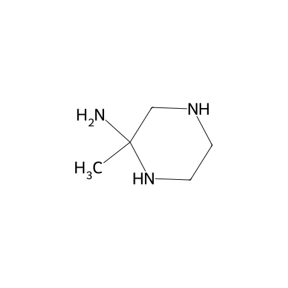 CC1(N)CNCCN1